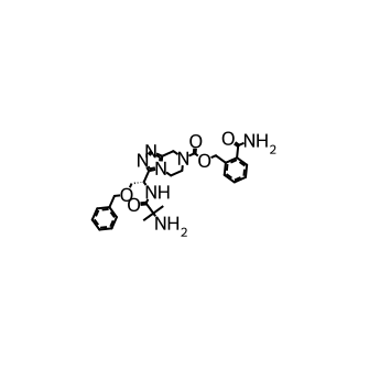 CC(C)(N)C(=O)N[C@H](COCc1ccccc1)c1nnc2n1CCN(C(=O)OCc1ccccc1C(N)=O)C2